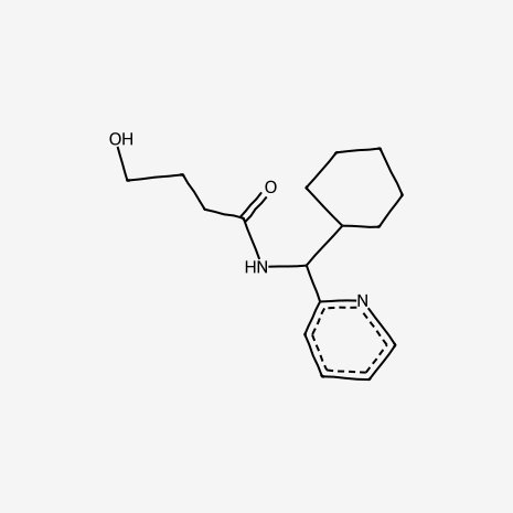 O=C(CCCO)NC(c1ccccn1)C1CCCCC1